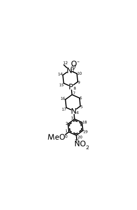 COc1cc(N2CCC(P3CC[N+](C)([O-])CC3)CC2)ccc1[N+](=O)[O-]